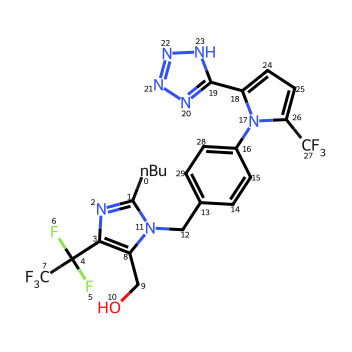 CCCCc1nc(C(F)(F)C(F)(F)F)c(CO)n1Cc1ccc(-n2c(-c3nnn[nH]3)ccc2C(F)(F)F)cc1